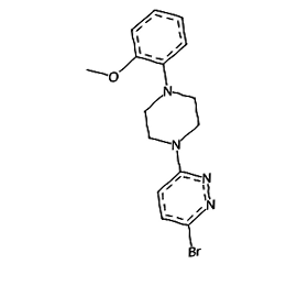 COc1ccccc1N1CCN(c2ccc(Br)nn2)CC1